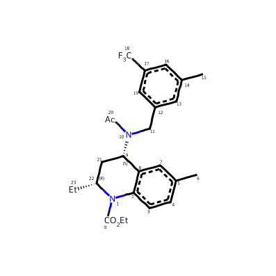 CCOC(=O)N1c2ccc(C)cc2[C@@H](N(Cc2cc(C)cc(C(F)(F)F)c2)C(C)=O)C[C@H]1CC